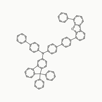 c1ccc(-c2ccc(N(c3ccc(-c4ccc(-c5cccc6c5oc5c(-c7ccccc7)cccc56)cc4)cc3)c3ccc4c(c3)-c3ccccc3C4(c3ccccc3)c3ccccc3)cc2)cc1